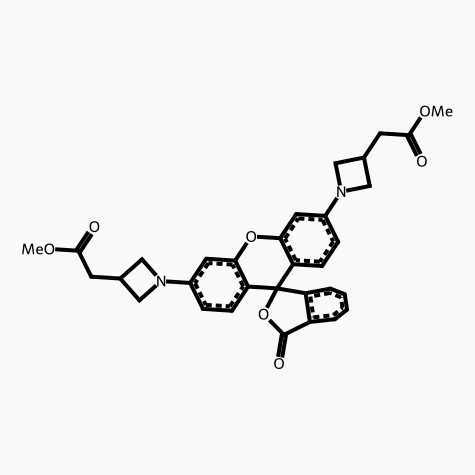 COC(=O)CC1CN(c2ccc3c(c2)Oc2cc(N4CC(CC(=O)OC)C4)ccc2C32OC(=O)c3ccccc32)C1